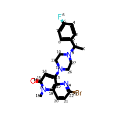 CC(c1ccc(F)cc1)N1CCN(c2cc(=O)n(C)c3ccc(Br)nc23)CC1